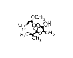 C=C(C)C(=O)OC(=C)C(=O)O.C=CC(=O)OC